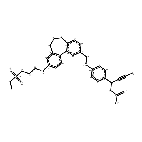 CC#CC(CC(=O)O)c1ccc(OCc2ccc3c(c2)-c2ccc(OCCCS(=O)(=O)CC)cc2CCC3)cc1